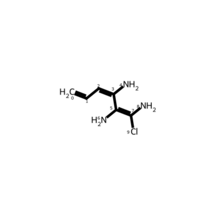 C=C/C=C(N)\C(N)=C(/N)Cl